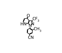 Cc1cc(C#N)ccc1-n1nc(C(F)(F)F)c2c(=O)cc[nH]c21